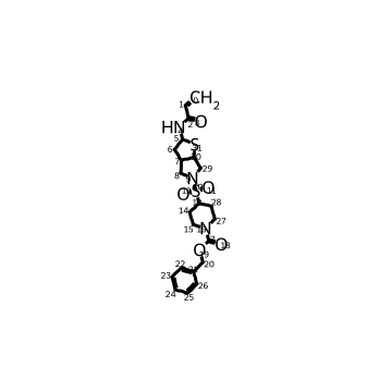 C=CC(=O)NC1CC2CN(S(=O)(=O)C3CCN(C(=O)OCc4ccccc4)CC3)CC2S1